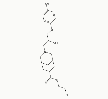 N#Cc1ccc(OCC(O)CN2CC3CC(C2)CN(C(=O)OCCCl)C3)cc1